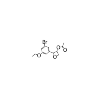 CCOc1cc(Br)cc(C2OCC2OC(C)=O)c1